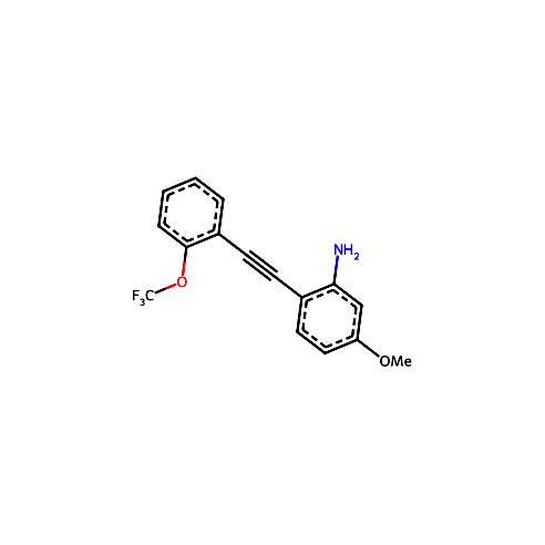 COc1ccc(C#Cc2ccccc2OC(F)(F)F)c(N)c1